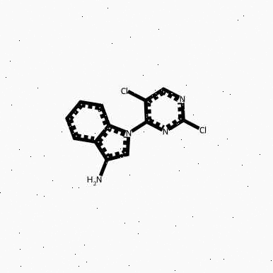 Nc1cn(-c2nc(Cl)ncc2Cl)c2ccccc12